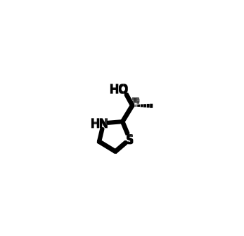 C[C@@H](O)C1NCCS1